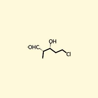 C[C@H]([C]=O)[C@H](O)CCCl